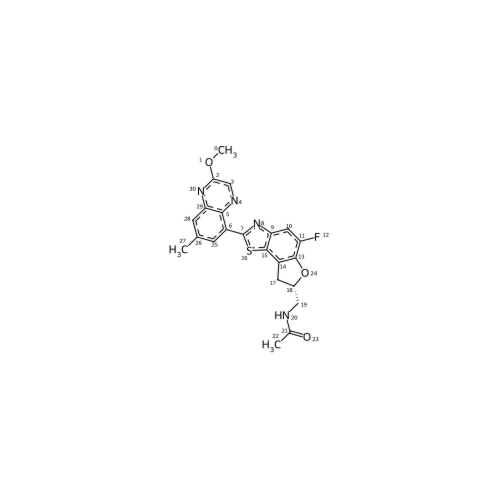 COc1cnc2c(-c3nc4cc(F)c5c(c4s3)C[C@@H](CNC(C)=O)O5)cc(C)cc2n1